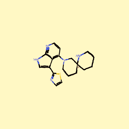 c1csc(-c2c[nH]c3nccc(N4CCC[C@@]5(CCCCN5)C4)c23)n1